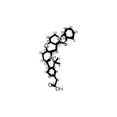 CC1(C)c2cc(CC(=O)O)ccc2C2=[N+]1C1=CC3=C4Sc5ccccc5N4CCC3OC1CC2